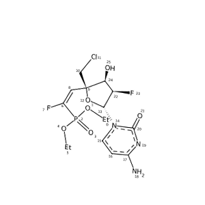 CCOP(=O)(OCC)/C(F)=C\[C@@]1(CCl)O[C@@H](n2ccc(N)nc2=O)[C@H](F)[C@@H]1O